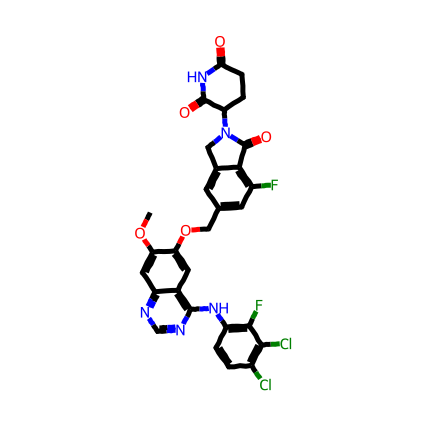 COc1cc2ncnc(Nc3ccc(Cl)c(Cl)c3F)c2cc1OCc1cc(F)c2c(c1)CN(C1CCC(=O)NC1=O)C2=O